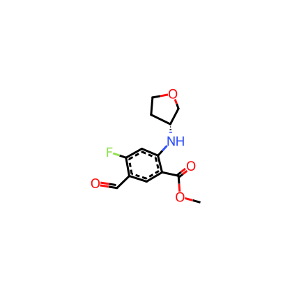 COC(=O)c1cc(C=O)c(F)cc1N[C@@H]1CCOC1